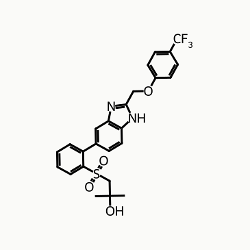 CC(C)(O)CS(=O)(=O)c1ccccc1-c1ccc2[nH]c(COc3ccc(C(F)(F)F)cc3)nc2c1